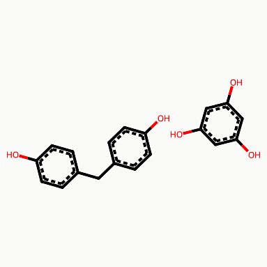 Oc1cc(O)cc(O)c1.Oc1ccc(Cc2ccc(O)cc2)cc1